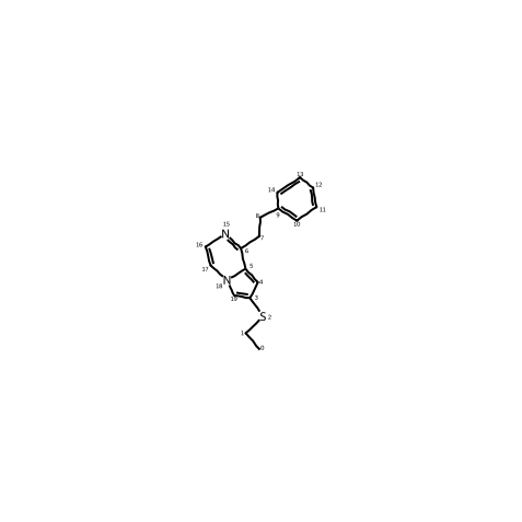 CCSc1cc2c(CCc3ccccc3)nccn2c1